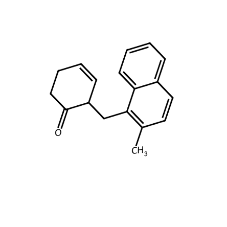 Cc1ccc2ccccc2c1CC1C=CCCC1=O